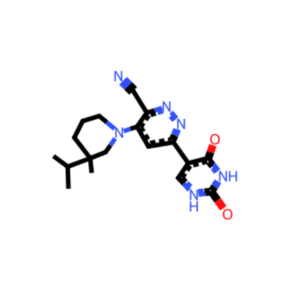 CC(C)C1(C)CCCN(c2cc(-c3c[nH]c(=O)[nH]c3=O)nnc2C#N)C1